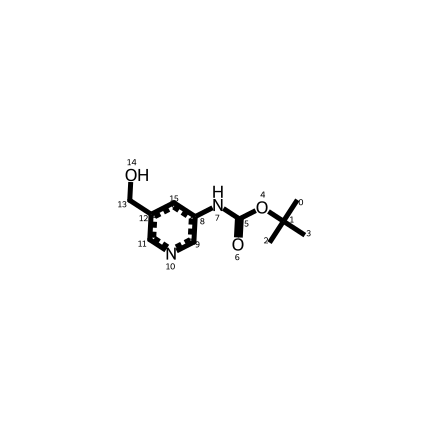 CC(C)(C)OC(=O)Nc1cncc(CO)c1